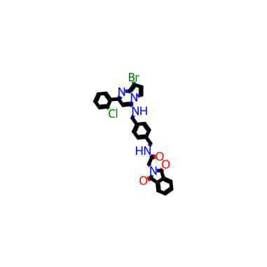 O=C(CN1C(=O)c2ccccc2C1=O)NCc1ccc(CNc2cc(-c3ccccc3Cl)nc3c(Br)ccn23)cc1